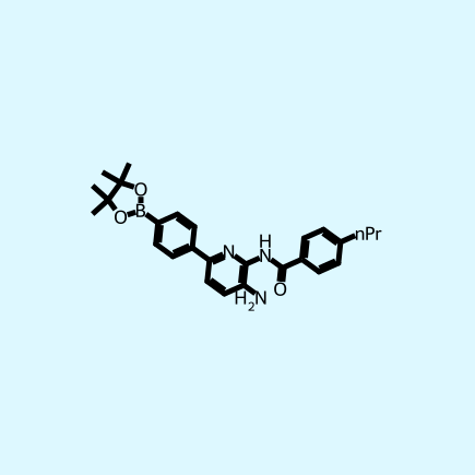 CCCc1ccc(C(=O)Nc2nc(-c3ccc(B4OC(C)(C)C(C)(C)O4)cc3)ccc2N)cc1